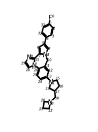 Fc1ccc(-c2cc3n(c2)Cc2cc(N4CCC(CN5CCC5)C4)ccc2-n2ccnc2-3)cc1